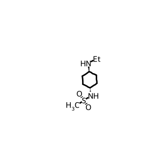 CCN[C@H]1CC[C@H](NS(C)(=O)=O)CC1